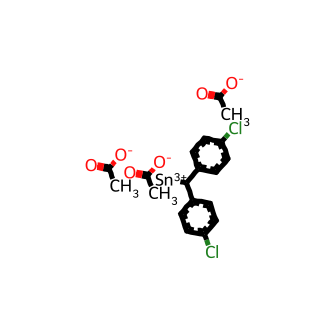 CC(=O)[O-].CC(=O)[O-].CC(=O)[O-].Clc1ccc([CH]([Sn+3])c2ccc(Cl)cc2)cc1